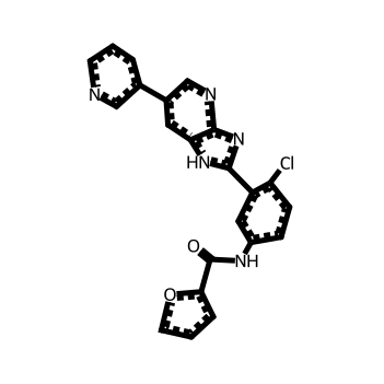 O=C(Nc1ccc(Cl)c(-c2nc3ncc(-c4cccnc4)cc3[nH]2)c1)c1ccco1